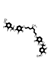 CCOc1ccc(C(F)(F)Oc2ccc(OCCCC(C)CCCOc3ccc(OC(F)(F)c4ccc(OCC)c(F)c4F)c(F)c3F)c(F)c2F)c(F)c1F